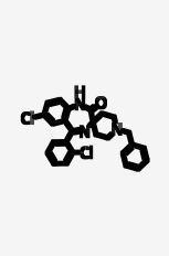 O=C1Nc2ccc(Cl)cc2C(c2ccccc2Cl)=NC12CCN(Cc1ccccc1)CC2